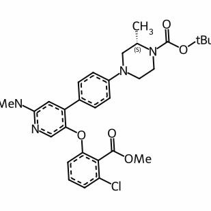 CNc1cc(-c2ccc(N3CCN(C(=O)OC(C)(C)C)[C@@H](C)C3)cc2)c(Oc2cccc(Cl)c2C(=O)OC)cn1